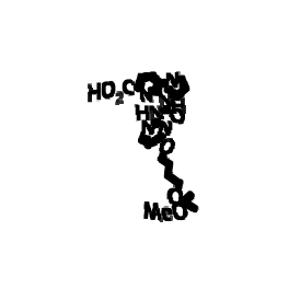 COC(C)(C)OCCCCOc1ccnc(NC(=O)N2c3nc(C(=O)O)ccc3N3CC[C@H]2C3)n1